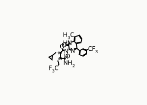 Cc1cccc2c1NC(=O)[C@@H](NC(=O)[C@@H](CC1CC1)[C@@H](CCC(F)(F)F)C(N)=O)N=C2c1cccc(C(F)(F)F)c1